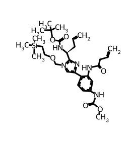 C=CCC(=O)Nc1cc(NC(=O)OC)ccc1-c1cn(COCC[Si](C)(C)C)c([C@H](CC=C)NC(=O)OC(C)(C)C)n1